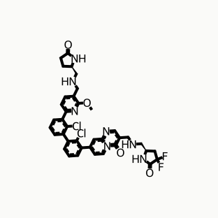 COc1nc(-c2cccc(-c3cccc(-c4ccn5c(=O)c(CNC[C@H]6CC(F)(F)C(=O)N6)cnc5c4)c3Cl)c2Cl)ccc1CNC[C@H]1CCC(=O)N1